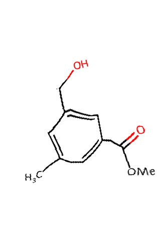 COC(=O)c1cc(C)cc([CH]O)c1